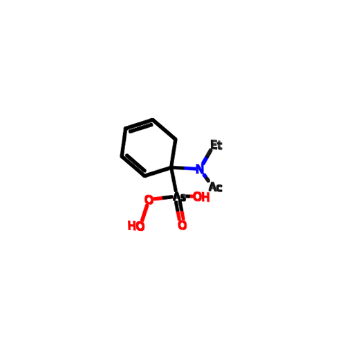 CCN(C(C)=O)C1([As](=O)(O)OO)C=CC=CC1